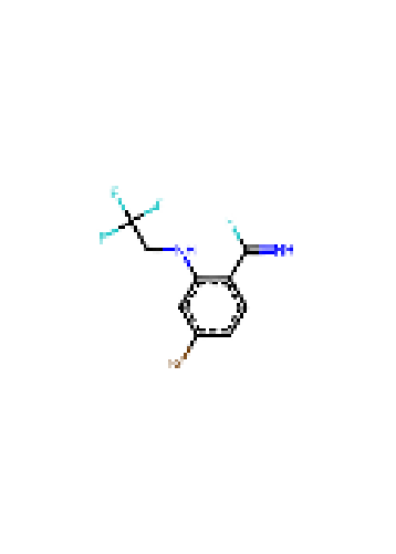 N=C(F)c1ccc(Br)cc1NCC(F)(F)F